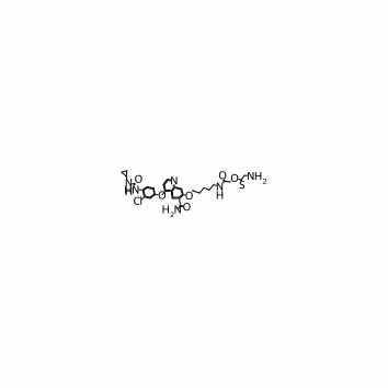 NCC(=S)OCC(=O)NCCCCCOc1cc2nccc(Oc3ccc(NC(=O)NC4CC4)c(Cl)c3)c2cc1C(N)=O